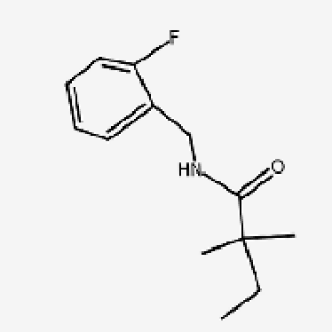 CCC(C)(C)C(=O)NCc1ccccc1F